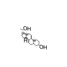 CC(O)[C@H]1CC[C@H]2C3=CCC4CC(O)CC[C@]4(C)C3=CC[C@]12C